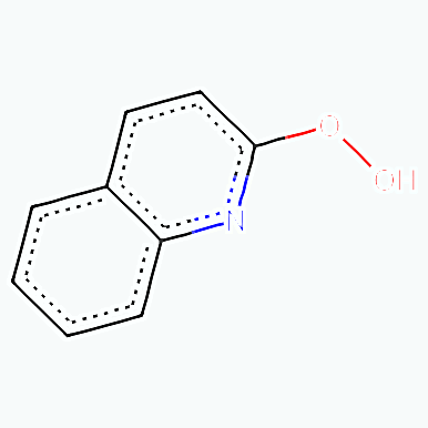 OOc1ccc2ccccc2n1